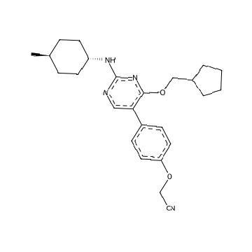 C[C@H]1CC[C@H](Nc2ncc(-c3ccc(OCC#N)cc3)c(OCC3CCCC3)n2)CC1